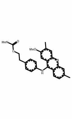 CNC(=O)OCCc1ccc(Nc2c3ccc(C)cc3nc3cc(C)c(OC)cc23)cc1